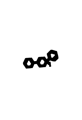 I[C@]1(c2c#cccc2)CC=C(C2=CC=CCC2)CC1